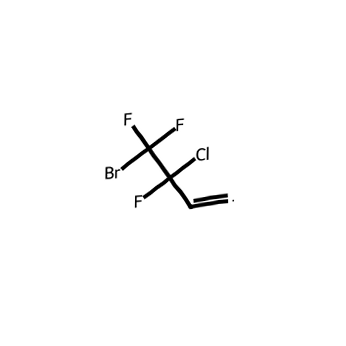 [CH]=CC(F)(Cl)C(F)(F)Br